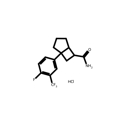 Cl.NC(=O)C1CC2(c3ccc(F)c(C(F)(F)F)c3)CCCC12